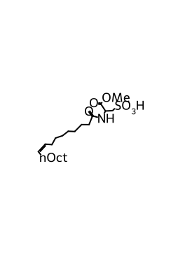 CCCCCCCC/C=C\CCCCCCCC(=O)NC(CS(=O)(=O)O)C(=O)OC